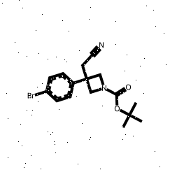 CC(C)(C)OC(=O)N1CC(CC#N)(c2ccc(Br)cc2)C1